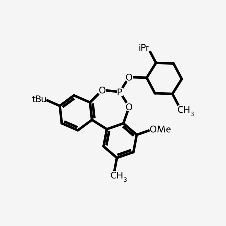 COc1cc(C)cc2c1op(OC1CC(C)CCC1C(C)C)oc1cc(C(C)(C)C)ccc12